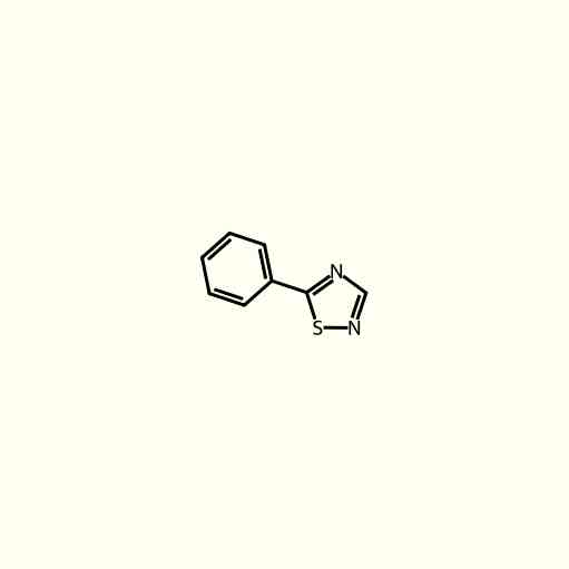 c1ccc(-c2ncns2)cc1